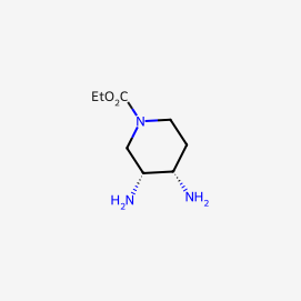 CCOC(=O)N1CC[C@H](N)[C@H](N)C1